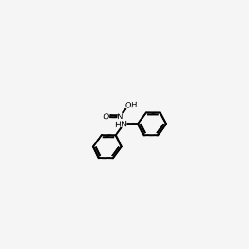 O=NO.c1ccc(Nc2ccccc2)cc1